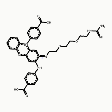 N=C(N)NCCOCCOCC/N=c1\cc2n(-c3ccc(C(=O)O)cc3)c3ccccc3nc-2cc1Nc1ccc(C(=O)O)cc1